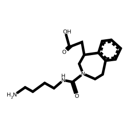 NCCCCNC(=O)N1CCc2ccccc2C(CC(=O)O)C1